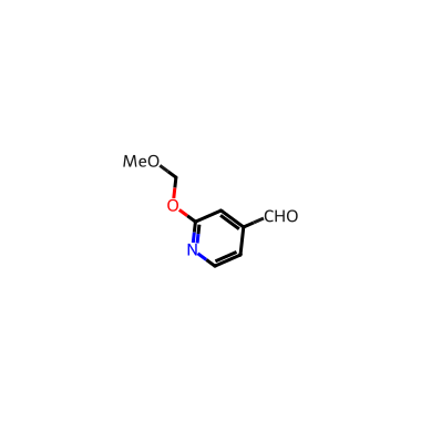 COCOc1cc(C=O)ccn1